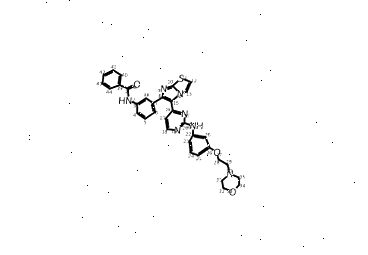 O=C(Nc1cccc(-c2nc3sccn3c2-c2ccnc(Nc3cccc(OCCN4CCOCC4)c3)n2)c1)c1ccccc1